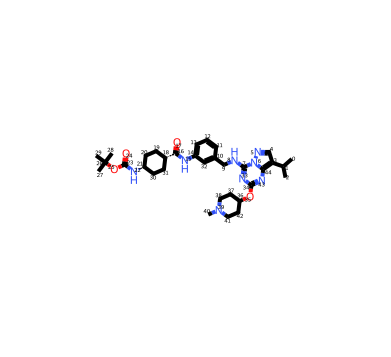 CC(C)c1cnn2c(NCc3cccc(NC(=O)[C@H]4CC[C@@H](NC(=O)OC(C)(C)C)CC4)c3)nc(OC3CCN(C)CC3)nc12